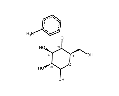 Nc1ccccc1.OC[C@H]1OC(O)[C@@H](O)[C@@H](O)[C@@H]1O